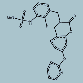 CNS(=O)(=O)Nc1cccc(CN2Cc3ccc(Oc4ccccn4)cc3OC2=O)c1F